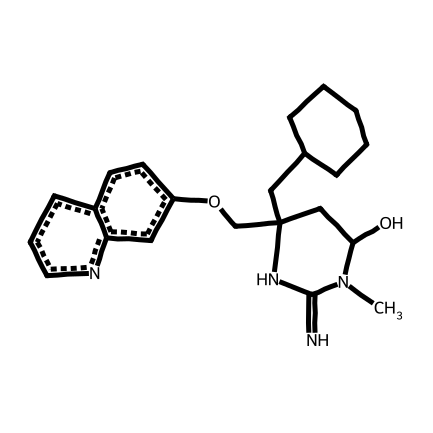 CN1C(=N)NC(COc2ccc3cccnc3c2)(CC2CCCCC2)CC1O